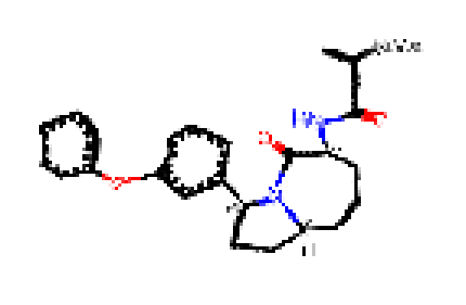 CNC(C)C(=O)N[C@H]1CCC[C@H]2CC[C@@H](c3cccc(Oc4ccccc4)c3)N2C1=O